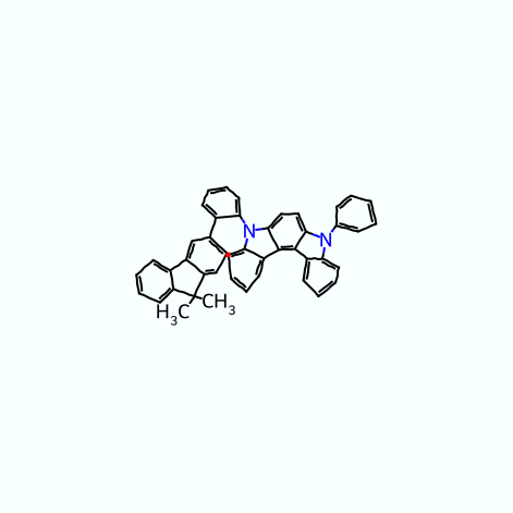 CC1(C)c2ccccc2-c2cc(-c3ccccc3-n3c4ccccc4c4c5c6ccccc6n(-c6ccccc6)c5ccc43)ccc21